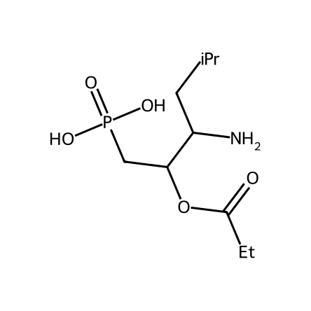 CCC(=O)OC(CP(=O)(O)O)C(N)CC(C)C